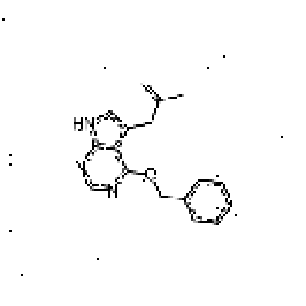 C=C(C)Cc1c[nH]c2ncnc(OCc3ccccc3)c12